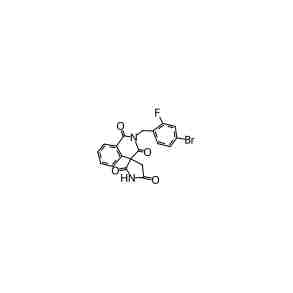 O=C1CC2(C(=O)N1)C(=O)N(Cc1ccc(Br)cc1F)C(=O)c1ccccc12